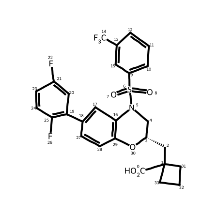 O=C(O)C1(C[C@H]2CN(S(=O)(=O)c3cccc(C(F)(F)F)c3)c3cc(-c4cc(F)ccc4F)ccc3O2)CCC1